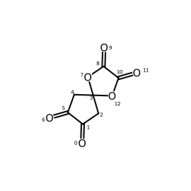 O=C1CC2(CC1=O)OC(=O)C(=O)O2